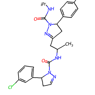 CC(C)NC(=O)N1N=C(CC(C)NC(=O)N2N=CCC2c2cccc(Cl)c2)CC1c1ccc(F)cc1